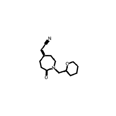 N#C/C=C1/CCC(=O)N(CC2CCCCO2)CC1